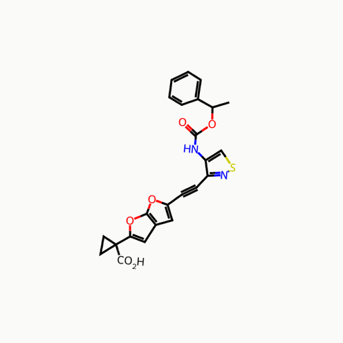 CC(OC(=O)Nc1csnc1C#Cc1cc2cc(C3(C(=O)O)CC3)oc2o1)c1ccccc1